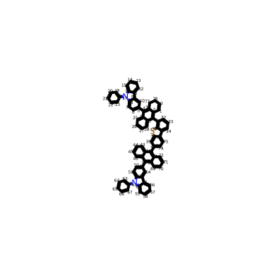 C1=Cc2c(c(-c3ccc4c(c3)c3ccccc3n4-c3ccccc3)c3ccccc3c2-c2cccc3c2sc2cc(-c4c5ccccc5c(-c5ccc6c(c5)c5ccccc5n6-c5ccccc5)c5ccccc45)ccc23)CC1